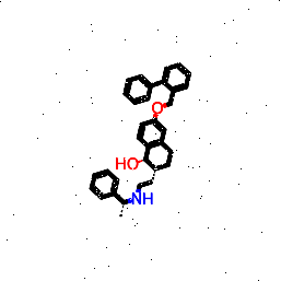 C[C@@H](NCC[C@H]1CCc2cc(OCc3ccccc3-c3ccccc3)ccc2[C@H]1O)c1ccccc1